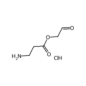 Cl.NCCC(=O)OCC=O